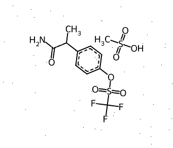 CC(C(N)=O)c1ccc(OS(=O)(=O)C(F)(F)F)cc1.CS(=O)(=O)O